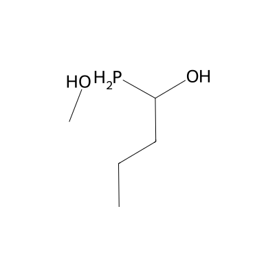 CCCC(O)P.CO